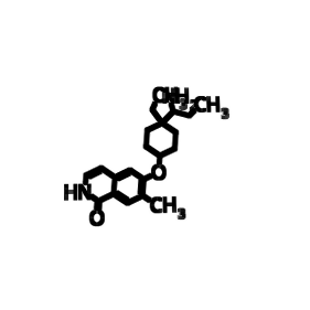 CCC(N)C1(CC)CCC(Oc2cc3cc[nH]c(=O)c3cc2C)CC1